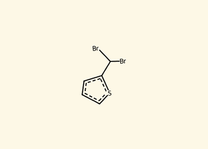 BrC(Br)c1cccs1